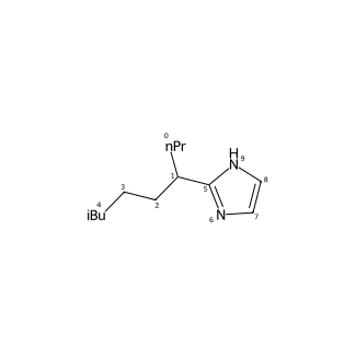 CCCC(CCC(C)CC)c1ncc[nH]1